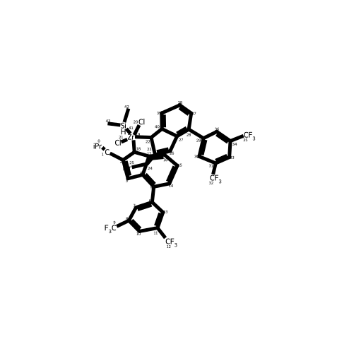 CC(C)CC1=Cc2c(-c3cc(C(F)(F)F)cc(C(F)(F)F)c3)cccc2[CH]1[Zr]([Cl])([Cl])([CH]1C(CC(C)C)=Cc2c(-c3cc(C(F)(F)F)cc(C(F)(F)F)c3)cccc21)[SiH](C)C